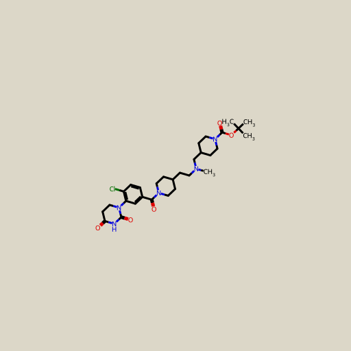 CN(CCC1CCN(C(=O)c2ccc(Cl)c(N3CCC(=O)NC3=O)c2)CC1)CC1CCN(C(=O)OC(C)(C)C)CC1